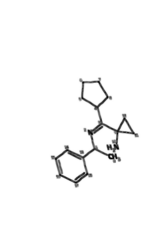 CC(/N=C(/C1CCCC1)C1(N)CC1)c1ccccc1